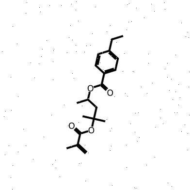 C=C(C)C(=O)OC(C)(C)CC(C)OC(=O)c1ccc(CC)cc1